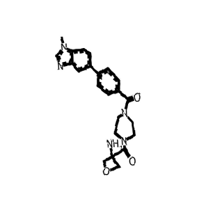 Cn1cnc2cc(-c3ccc(C(=O)N4CCN(C(=O)C5(N)COC5)CC4)cc3)ccc21